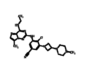 CCNc1nc(Nc2cc(C#N)cc(N3CC(N4CCN(C)CC4)C3)c2Cl)nn2c(C)cnc12